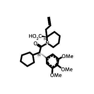 C=CC[C@]1(C(=O)O)CCCCN1C(=O)[C@H](c1cc(OC)c(OC)c(OC)c1)C1CCCCC1